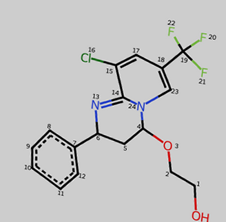 OCCOC1CC(c2ccccc2)N=C2C(Cl)=CC(C(F)(F)F)=CN21